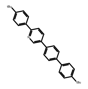 CC(C)(C)c1ccc(-c2ccc(-c3ccc(-c4ccc(C(C)(C)C)cc4)nc3)cc2)cc1